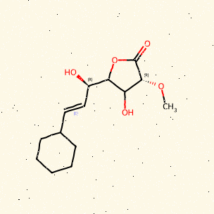 CO[C@H]1C(=O)OC([C@H](O)/C=C/C2CCCCC2)C1O